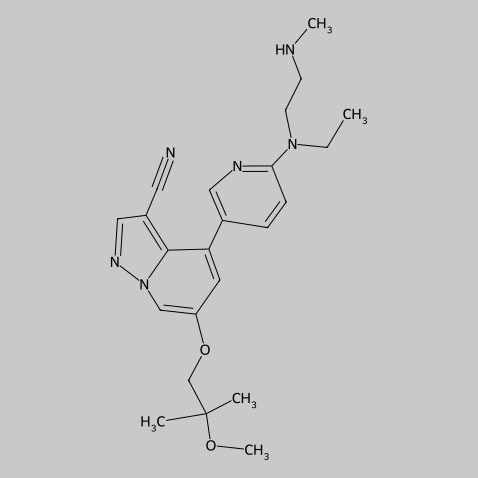 CCN(CCNC)c1ccc(-c2cc(OCC(C)(C)OC)cn3ncc(C#N)c23)cn1